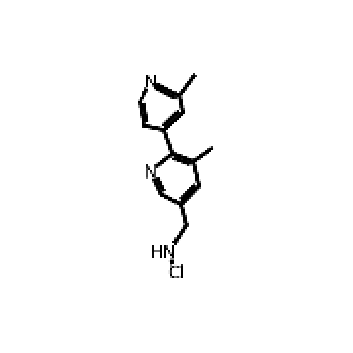 Cc1cc(-c2ncc(CNCl)cc2C)ccn1